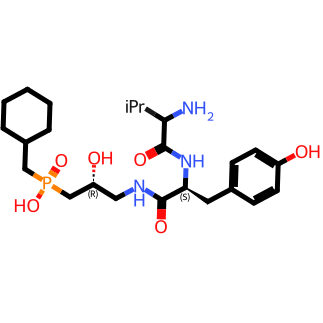 CC(C)C(N)C(=O)N[C@@H](Cc1ccc(O)cc1)C(=O)NC[C@@H](O)CP(=O)(O)CC1CCCCC1